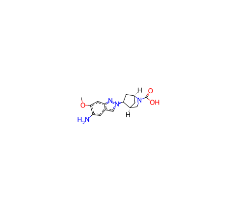 COc1cc2nn([C@H]3C[C@@H]4C[C@H]3CN4C(=O)O)cc2cc1N